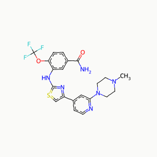 CN1CCN(c2cc(-c3csc(Nc4cc(C(N)=O)ccc4OC(F)(F)F)n3)ccn2)CC1